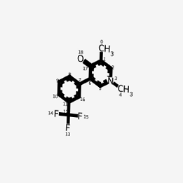 Cc1cn(C)cc(-c2cccc(C(F)(F)F)c2)c1=O